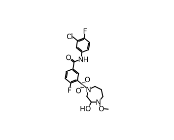 CON1CCCN(S(=O)(=O)c2cc(C(=O)Nc3ccc(F)c(Cl)c3)ccc2F)CC1O